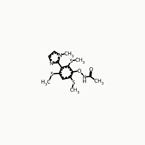 CSc1cc(SC)c(-c2nccn2C)c(SC)c1ONC(C)=O